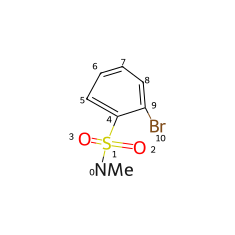 [CH2]NS(=O)(=O)c1ccccc1Br